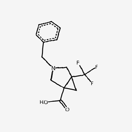 O=C(O)C12CN(Cc3ccccc3)CC1(C(F)(F)F)C2